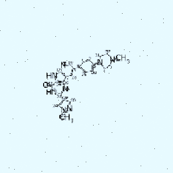 CN1CCN(c2ccc(-c3cnc4[nH]c5c(=O)[nH]c(-c6cnn(C)c6)nc5c4c3)cc2)CC1